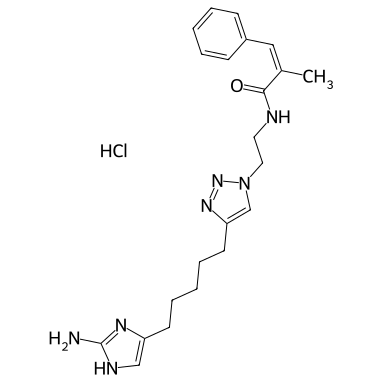 CC(=Cc1ccccc1)C(=O)NCCn1cc(CCCCCc2c[nH]c(N)n2)nn1.Cl